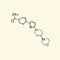 O=C(O)c1ccc(-c2csc(N3CCC(N4CCOCC4)CC3)n2)cc1